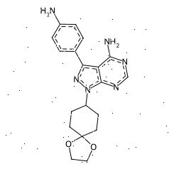 Nc1ccc(-c2nn(C3CCC4(CC3)OCCO4)c3ncnc(N)c23)cc1